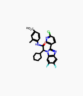 Cc1cc(C(=O)O)ccc1NC(=O)C(C1CCCCC1)n1c(-c2ccc(Cl)nc2)nc2cc(F)c(F)cc21